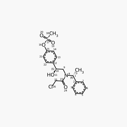 C[C@H](c1ccccc1)N(C[C@@H](O)c1ccc(OS(C)(=O)=O)cc1)C(=O)CCl